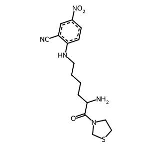 N#Cc1cc([N+](=O)[O-])ccc1NCCCCC(N)C(=O)N1CCSC1